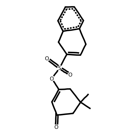 CC1(C)CC(=O)C=C(OS(=O)(=O)C2=CCc3ccccc3C2)C1